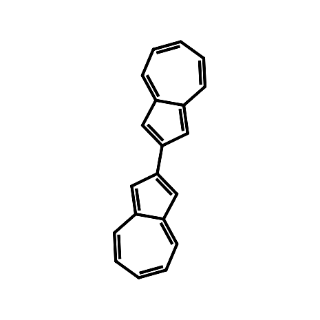 c1ccc2cc(-c3cc4cccccc-4c3)cc-2cc1